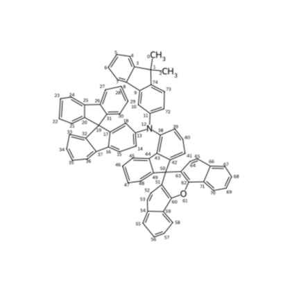 CC1(C)c2ccccc2-c2cc(N(c3ccc4c(c3)C3(c5ccccc5-c5ccccc53)c3ccccc3-4)c3cccc4c3-c3ccccc3C43c4ccc5ccccc5c4Oc4c3ccc3ccccc43)ccc21